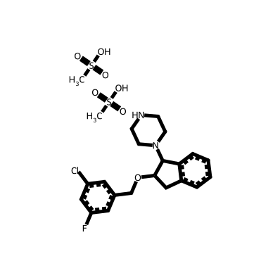 CS(=O)(=O)O.CS(=O)(=O)O.Fc1cc(Cl)cc(COC2Cc3ccccc3C2N2CCNCC2)c1